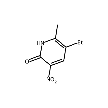 CCc1cc([N+](=O)[O-])c(=O)[nH]c1C